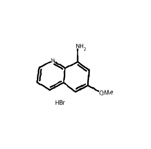 Br.COc1cc(N)c2ncccc2c1